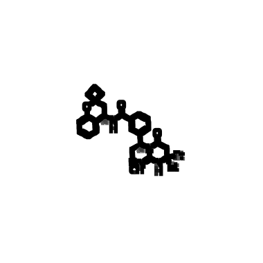 C#CC[C@@H](c1cccc(C(=O)N[C@@H]2CC3(CCC3)Oc3ccccc32)c1)N1C(=N)NC(CC)(CC)CC1=O